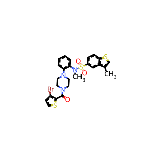 Cc1csc2ccc(S(=O)(=O)N(C)c3ccccc3N3CCN(C(=O)c4sccc4Br)CC3)cc12